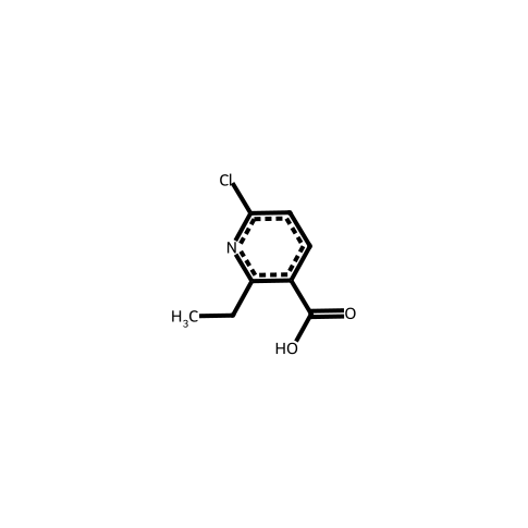 CCc1nc(Cl)ccc1C(=O)O